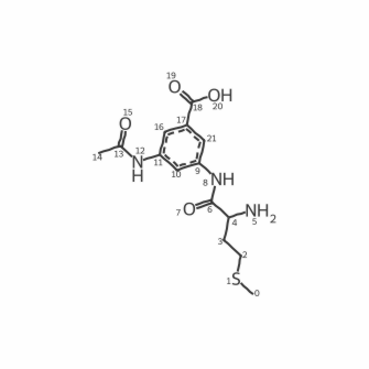 CSCCC(N)C(=O)Nc1cc(NC(C)=O)cc(C(=O)O)c1